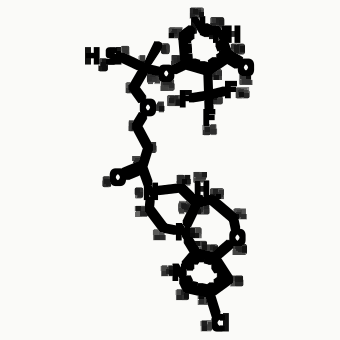 C[C@]([SiH3])(COCCC(=O)N1CCN2c3ncc(Cl)cc3OCC[C@H]2C1)Oc1cn[nH]c(=O)c1C(F)(F)F